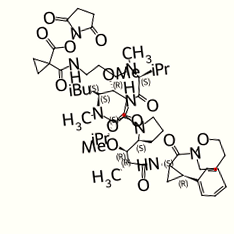 CC[C@H](C)[C@@H]([C@@H](CC(=O)N1CCC[C@H]1[C@H](OC)[C@@H](C)C(=O)N[C@@]1(C(=O)N2CCCCO2)C[C@@H]1c1ccccc1)OC)N(C)[C@H](C(=O)NC(=O)[C@H](C(C)C)N(C)CCCNC(=O)C1(C(=O)ON2C(=O)CCC2=O)CC1)C(C)C